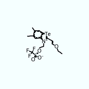 CCOC=Cc1[te]c2cc(C)c(C)cc2[n+]1CC.O=S(=O)([O-])C(F)(F)F